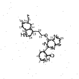 O=c1[nH]cccc1-c1nc(OCCc2c[nH]c3ccc(F)cc23)c2ncsc2n1